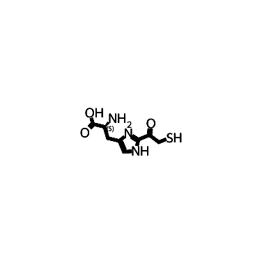 N[C@@H](Cc1c[nH]c(C(=O)CS)n1)C(=O)O